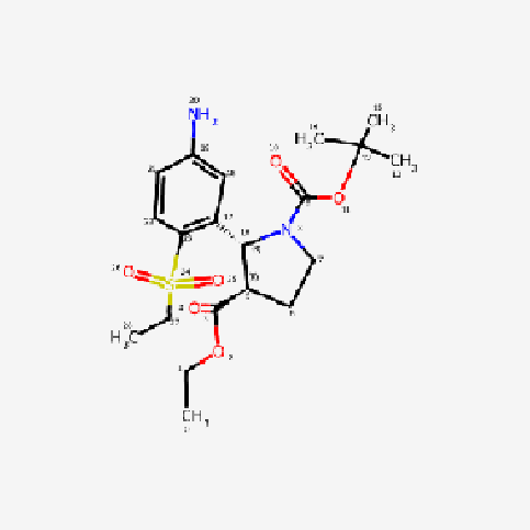 CCOC(=O)[C@@H]1CCN(C(=O)OC(C)(C)C)[C@H]1c1cc(N)ccc1S(=O)(=O)CC